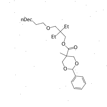 CCCCCCCCCCCCOCC(CC)(CC)COC(=O)C1(C)COC(c2ccccc2)OC1